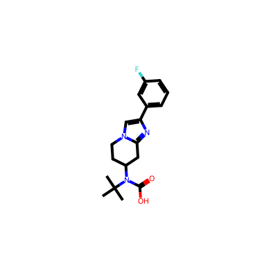 CC(C)(C)N(C(=O)O)C1CCn2cc(-c3cccc(F)c3)nc2C1